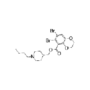 CCCCN1CCC(COC(=O)c2c(Br)c(Br)cc3c2OCCO3)CC1